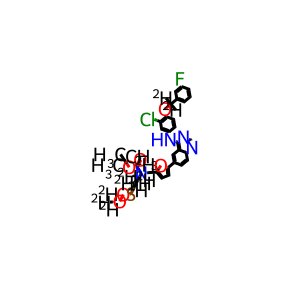 [2H]C([2H])([2H])OOSC([2H])([2H])C([2H])([2H])N(C(=O)OC(C)(C)C)C([2H])([2H])c1ccc(-c2ccc3ncnc(Nc4ccc(OC([2H])([2H])c5cccc(F)c5)c(Cl)c4)c3c2)o1